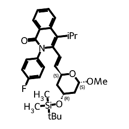 CO[C@@H]1C[C@H](O[Si](C)(C)C(C)(C)C)C[C@@H](C=Cc2c(C(C)C)c3ccccc3c(=O)n2-c2ccc(F)cc2)O1